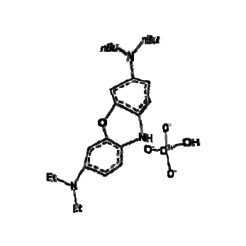 CCCCN(CCCC)c1ccc2c(c1)Oc1cc(N(CC)CC)ccc1N2.[O-][Cl+3]([O-])([O-])O